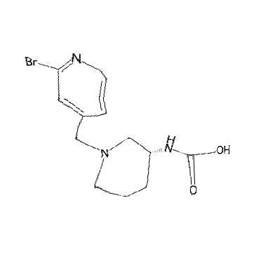 O=C(O)N[C@@H]1CCCN(Cc2ccnc(Br)c2)C1